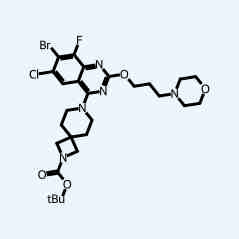 CC(C)(C)OC(=O)N1CC2(CCN(c3nc(OCCCN4CCOCC4)nc4c(F)c(Br)c(Cl)cc34)CC2)C1